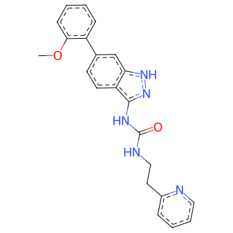 COc1ccccc1-c1ccc2c(NC(=O)NCCc3ccccn3)n[nH]c2c1